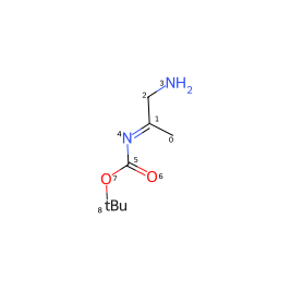 C/C(CN)=N\C(=O)OC(C)(C)C